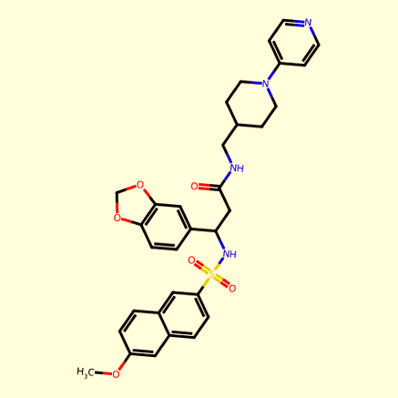 COc1ccc2cc(S(=O)(=O)NC(CC(=O)NCC3CCN(c4ccncc4)CC3)c3ccc4c(c3)OCO4)ccc2c1